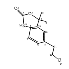 CC1(C)OC(=O)Nc2ccc(CCCl)cc21